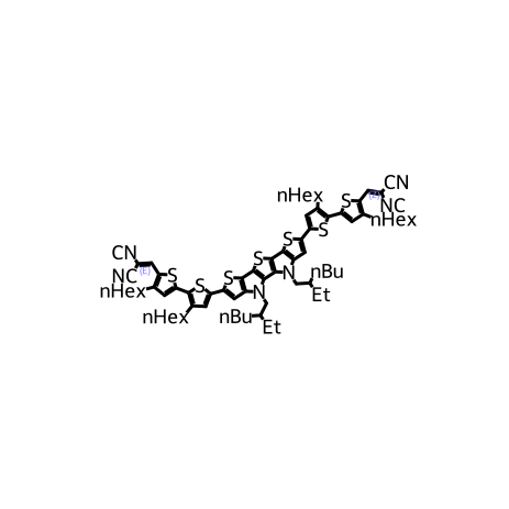 [C-]#[N+]/C(C#N)=C\c1sc(-c2sc(-c3cc4c(s3)c3sc5c6sc(-c7cc(CCCCCC)c(-c8cc(CCCCCC)c(/C=C(\C#N)[N+]#[C-])s8)s7)cc6n(CC(CC)CCCC)c5c3n4CC(CC)CCCC)cc2CCCCCC)cc1CCCCCC